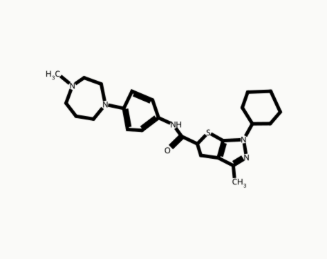 Cc1nn(C2CCCCC2)c2c1CC(C(=O)Nc1ccc(N3CCCN(C)CC3)cc1)S2